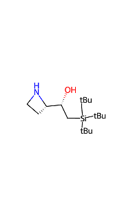 CC(C)(C)[Si](C[C@@H](O)[C@@H]1CCN1)(C(C)(C)C)C(C)(C)C